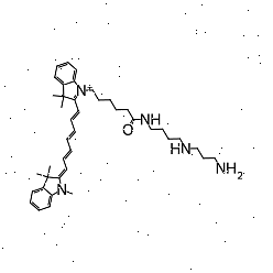 CN1/C(=C/C=C/C=C/C=C/C2=[N+](CCCCCC(=O)NCCCCNCCCN)c3ccccc3C2(C)C)C(C)(C)c2ccccc21